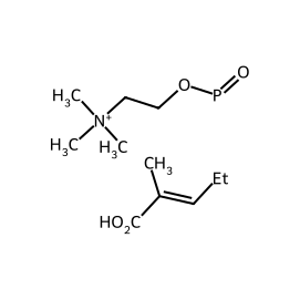 CCC=C(C)C(=O)O.C[N+](C)(C)CCOP=O